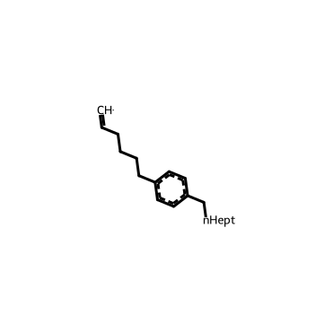 [CH]=CCCCCc1ccc(CCCCCCCC)cc1